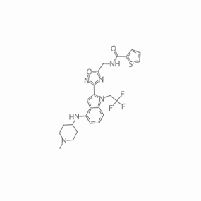 CN1CCC(Nc2cccc3c2cc(-c2noc(CNC(=O)c4cccs4)n2)n3CC(F)(F)F)CC1